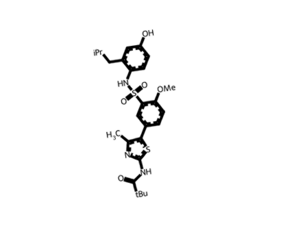 COc1ccc(-c2sc(NC(=O)C(C)(C)C)nc2C)cc1S(=O)(=O)Nc1ccc(O)cc1CC(C)C